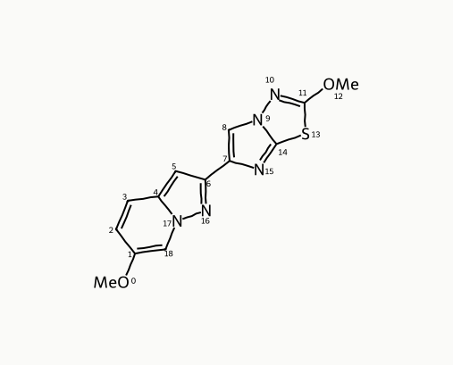 COc1ccc2cc(-c3cn4nc(OC)sc4n3)nn2c1